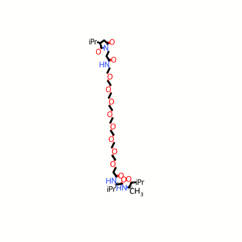 CC(C)C(=O)[C@H](C)NC(=O)[C@@H](NC(=O)CCOCCOCCOCCOCCOCCOCCOCCOCCNC(=O)CCN1C(=O)CC(C(C)C)C1=O)C(C)C